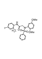 COc1ccc(OC)c(N(CC(=O)Nc2ccc(I)cc2C)S(=O)(=O)c2ccccc2)c1